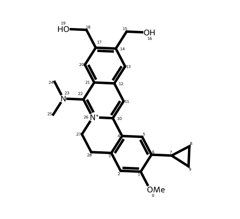 COc1cc2c(cc1C1CC1)-c1cc3cc(CO)c(CO)cc3c(N(C)C)[n+]1CC2